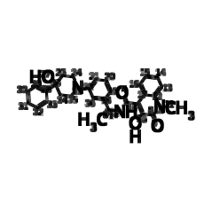 C[C@@H](NC(=O)c1c(O)c(=O)n(C)c2ccccc12)c1cccc(N2CCC(O)(c3ccccc3)CC2)c1